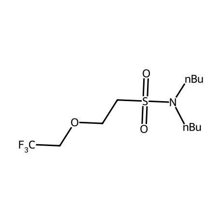 CCCCN(CCCC)S(=O)(=O)CCOCC(F)(F)F